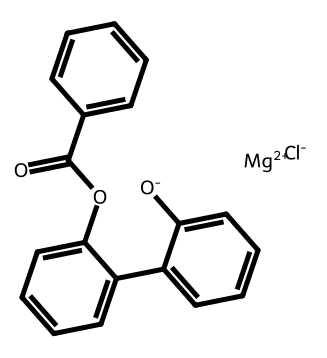 O=C(Oc1ccccc1-c1ccccc1[O-])c1ccccc1.[Cl-].[Mg+2]